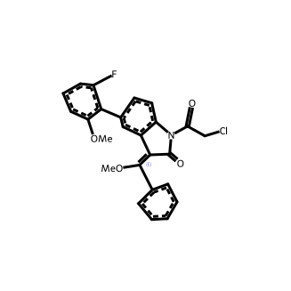 CO/C(=C1/C(=O)N(C(=O)CCl)c2ccc(-c3c(F)cccc3OC)cc21)c1ccccc1